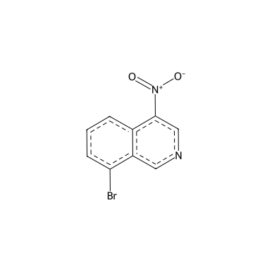 O=[N+]([O-])c1cncc2c(Br)cccc12